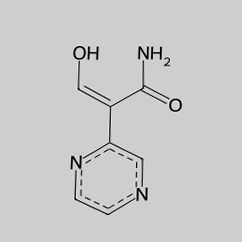 NC(=O)/C(=C\O)c1cnccn1